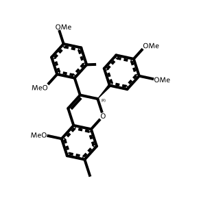 COc1cc(C)c(C2=Cc3c(OC)cc(C)cc3O[C@@H]2c2ccc(OC)c(OC)c2)c(OC)c1